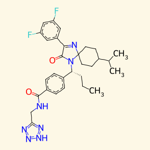 CCC[C@H](c1ccc(C(=O)NCc2nn[nH]n2)cc1)N1C(=O)C(c2cc(F)cc(F)c2)=NC12CCC(C(C)C)CC2